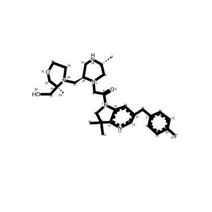 C[C@@H]1CN(CC(=O)N2CC(C)(C)c3ncc(Cc4ccc(F)cc4)cc32)[C@@H](CN2CCOC[C@]2(C)CO)CN1